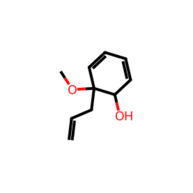 C=CCC1(OC)C=CC=CC1O